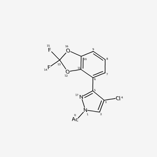 CC(=O)n1cc(Cl)c(-c2cccc3c2OC(F)(F)O3)n1